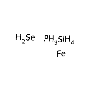 P.[Fe].[SeH2].[SiH4]